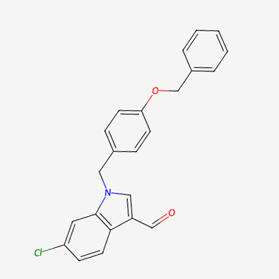 O=Cc1cn(Cc2ccc(OCc3ccccc3)cc2)c2cc(Cl)ccc12